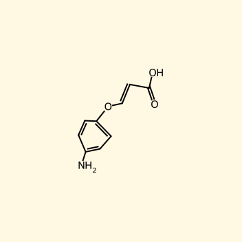 Nc1ccc(OC=CC(=O)O)cc1